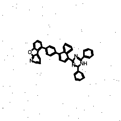 c1ccc(C2=NC(c3ccc(-c4ccc(-c5cccc6oc7ncccc7c56)cc4)c4ccccc34)=NC(c3ccccc3)N2)cc1